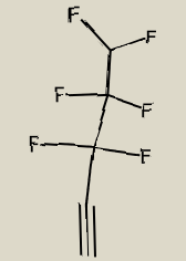 C#CC(F)(F)C(F)(F)C(F)F